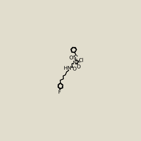 O=C(CN1C(=O)[C@H](Cl)[C@H]1[S+]([O-])Cc1ccccc1)NCCCCCCc1ccc(F)cc1